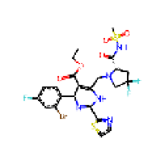 CCOC(=O)C1=C(CN2CC(F)(F)C[C@H]2C(=O)NS(C)(=O)=O)NC(c2nccs2)=NC1c1ccc(F)cc1Br